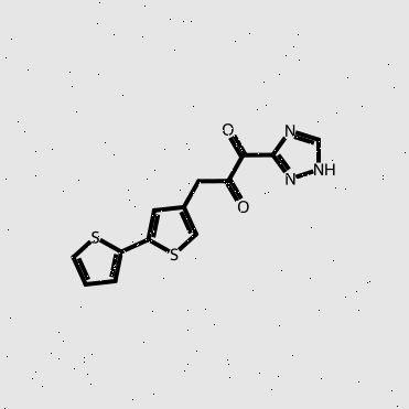 O=C(Cc1csc(-c2cccs2)c1)C(=O)c1nc[nH]n1